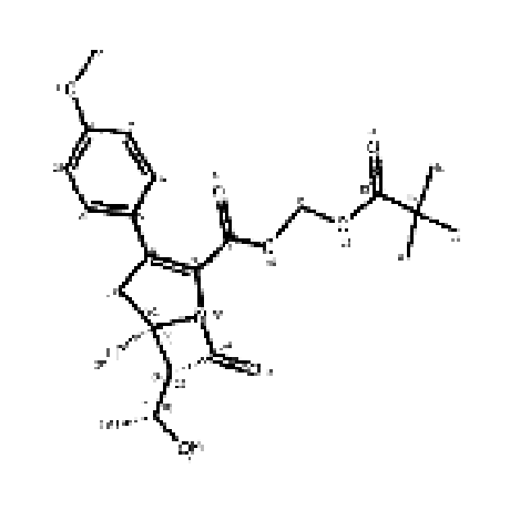 COc1ccc(C2=C(C(=O)OCOC(=O)C(C)(C)C)N3C(=O)[C@H]([C@@H](C)O)[C@H]3C2)cc1